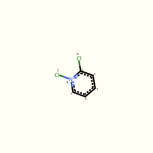 Clc1cccc[n+]1Cl